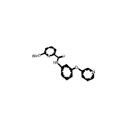 COc1cccc(C(=O)Nc2cccc(Oc3cccnc3)c2)n1